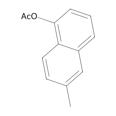 CC(=O)Oc1cccc2cc(C)ccc12